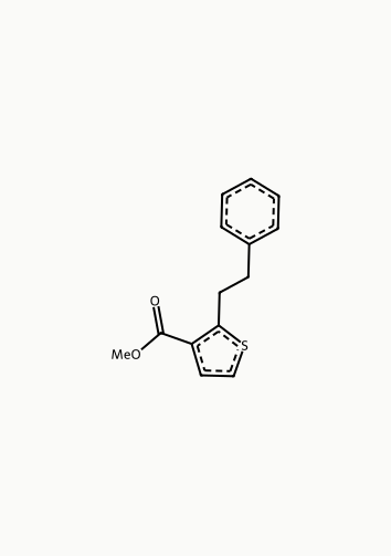 COC(=O)c1ccsc1CCc1ccccc1